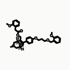 COc1ccccc1COCCCOc1ccc(C2=C(COC(=O)Cc3ccccc3OC)[C@H]3CN(C)C[C@@H](C2)N3)cc1